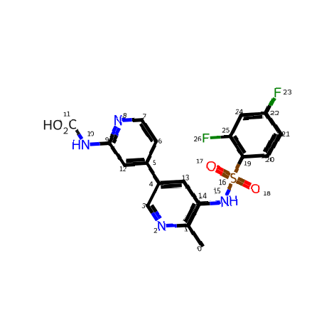 Cc1ncc(-c2ccnc(NC(=O)O)c2)cc1NS(=O)(=O)c1ccc(F)cc1F